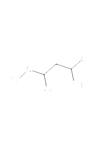 CCNC(O)CC(C)CC